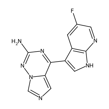 Nc1nc(-c2c[nH]c3ncc(F)cc23)c2cncn2n1